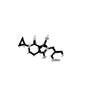 CNC/C(=C\F)Cn1c(Br)c2c(c1Br)C(=O)N(C1CC1)CC2